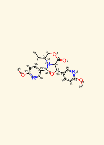 CC[C@H]1COC(=O)C2[C@@H](c3ccc(OC)nc3)O[C@@H](c3ccc(OC)nc3)N21